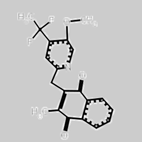 COc1cnc(CC2=C(C)C(=O)c3ccccc3C2=O)cc1C(C)(F)F